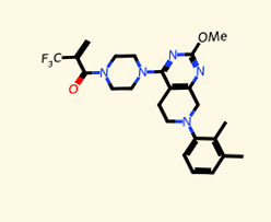 C=C(C(=O)N1CCN(c2nc(OC)nc3c2CCN(c2cccc(C)c2C)C3)CC1)C(F)(F)F